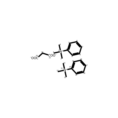 C[N+](C)(C)c1ccccc1.C[N+](C)(C)c1ccccc1.O=C([O-])CC(=O)[O-]